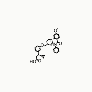 COc1ccc(C(=O)Nc2ccccc2)c(N2CCC(COc3cccc(C(CC(=O)O)C4CC4)c3)CC2)c1